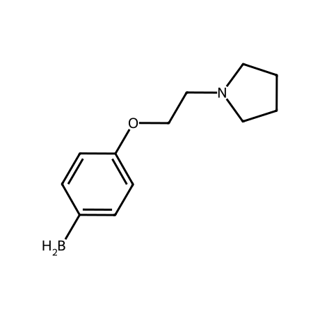 Bc1ccc(OCCN2CCCC2)cc1